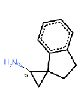 N[C@H]1CC12CCc1ccccc12